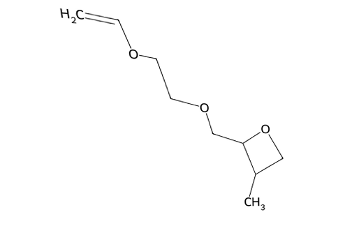 C=COCCOCC1OCC1C